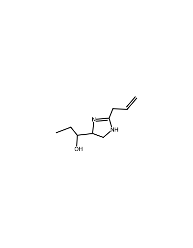 C=CCC1=NC(C(O)CC)CN1